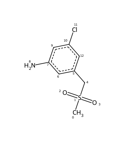 CS(=O)(=O)Cc1cc(N)cc(Cl)c1